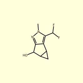 Cn1nc2c(c1C(F)F)C1CC1C2O